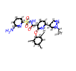 Cc1cc(C)c(Oc2nc(-c3cnn(CC(C)C)c3)ccc2C(=O)NS(=O)(=O)c2cccc(N)n2)c(C)c1